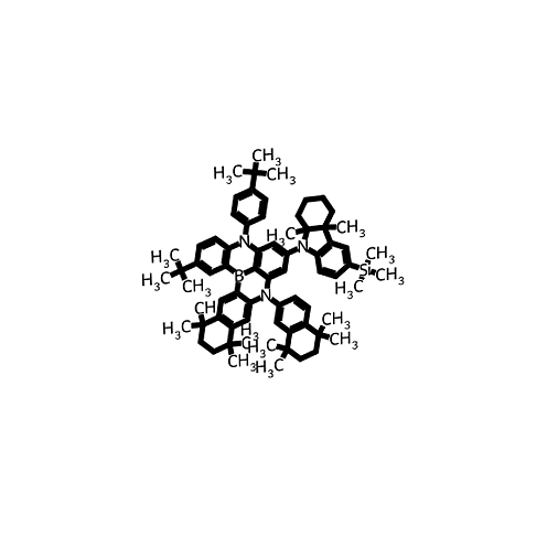 CC(C)(C)c1ccc(N2c3ccc(C(C)(C)C)cc3B3c4cc5c(cc4N(c4ccc6c(c4)C(C)(C)CCC6(C)C)c4cc(N6c7ccc([Si](C)(C)C)cc7C7(C)CCCCC67C)cc2c43)C(C)(C)CCC5(C)C)cc1